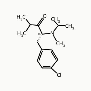 CC(C)C(=O)[C@@H](Cc1ccc(Cl)cc1)N(C)C(C)C